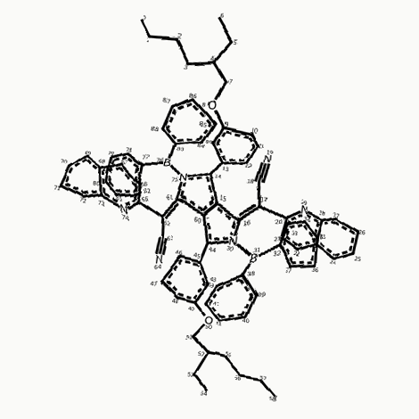 CCCCC(CC)COc1cccc(-c2c3/c(=C(\C#N)c4ccc5ccccc5n4)n(B(c4ccccc4)c4ccccc4)c(-c4cccc(OCC(CC)CCCC)c4)c3/c(=C(\C#N)c3ccc4ccccc4n3)n2B(c2ccccc2)c2ccccc2)c1